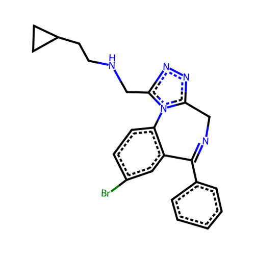 Brc1ccc2c(c1)C(c1ccccc1)=NCc1nnc(CNCCC3CC3)n1-2